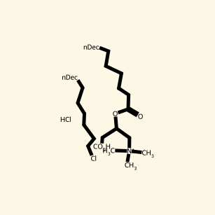 CCCCCCCCCCCCCCCC(=O)OC(CC(=O)O)C[N+](C)(C)C.CCCCCCCCCCCCCCCCCl.Cl